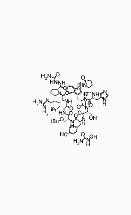 CC(C)C[C@@H](NC(=O)[C@@H](COC(C)(C)C)NC(=O)[C@@H](Cc1ccc(O)cc1)NC(=O)[C@@H](CO)NC(=O)[C@H](Cc1c[nH]c2ccccc12)NC(=O)[C@H](Cc1cnc[nH]1)NC(=O)[C@H]1CCC(=O)N1)C(=O)N[C@H](CCCN=C(N)N)C(=O)N1CCC[C@H]1C(=O)NNC(N)=O.NC(=O)NO